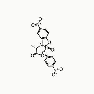 C[C@H](NP(=O)(Oc1ccc([N+](=O)[O-])cc1)Oc1ccc([N+](=O)[O-])cc1)C(=O)O